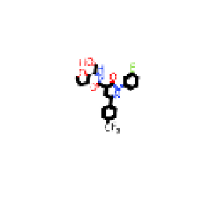 O=C(NC(CO)[C@@H]1CCCO1)c1cc(-c2ccc(C(F)(F)F)cc2)nn(-c2cccc(F)c2)c1=O